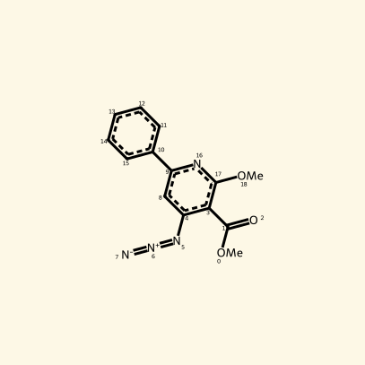 COC(=O)c1c(N=[N+]=[N-])cc(-c2ccccc2)nc1OC